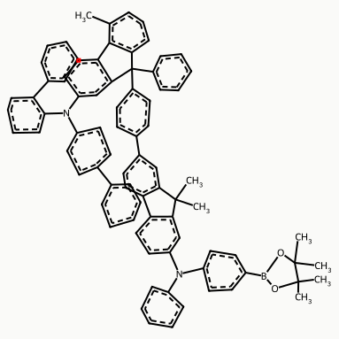 Cc1cccc2c1-c1ccc(N(c3ccc(-c4ccccc4)cc3)c3ccccc3-c3ccccc3)cc1C2(c1ccccc1)c1ccc(-c2ccc3c(c2)C(C)(C)c2cc(N(c4ccccc4)c4ccc(B5OC(C)(C)C(C)(C)O5)cc4)ccc2-3)cc1